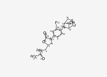 CC(=O)NCC1CN(c2ccc(N3C4CSCC3C4C)c(F)c2)C(=O)O1